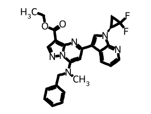 CCOC(=O)c1cnn2c(N(C)Cc3ccccc3)cc(-c3cn([C@H]4CC4(F)F)c4ncccc34)nc12